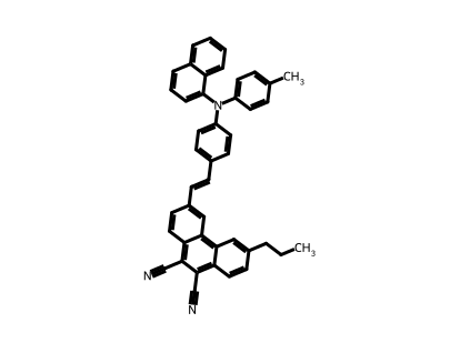 CCCc1ccc2c(C#N)c(C#N)c3ccc(C=Cc4ccc(N(c5ccc(C)cc5)c5cccc6ccccc56)cc4)cc3c2c1